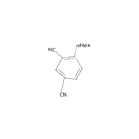 CCCCC[CH]c1ccc(C#N)cc1C#N